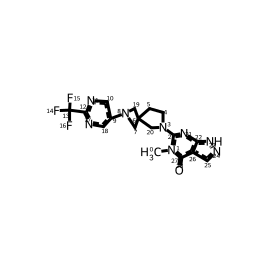 Cn1c(N2CCC3(CN(c4cnc(C(F)(F)F)nc4)C3)C2)nc2[nH]ncc2c1=O